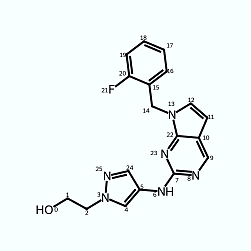 OCCn1cc(Nc2ncc3ccn(Cc4ccccc4F)c3n2)cn1